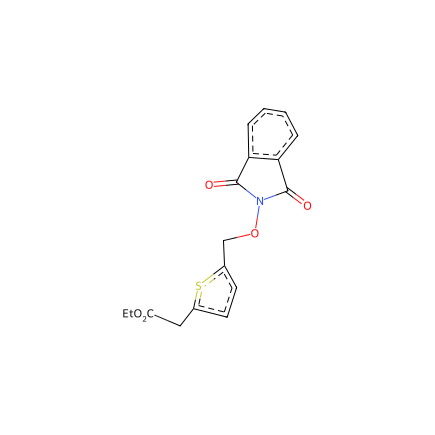 CCOC(=O)Cc1ccc(CON2C(=O)c3ccccc3C2=O)s1